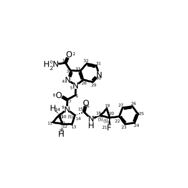 NC(=O)c1nn(CC(=O)N2[C@@H]3C[C@@H]3C[C@H]2C(=O)N[C@H]2C[C@]2(F)c2ccccc2)c2cnccc12